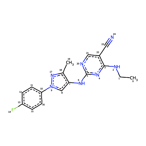 CCNc1nc(Nc2cn(-c3ccc(F)cc3)nc2C)ncc1C#N